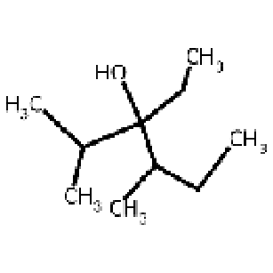 CCC(C)C(O)(CC)C(C)C